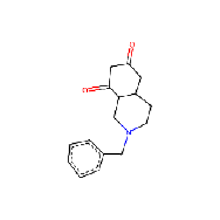 O=C1CC(=O)C2CN(Cc3ccccc3)CCC2C1